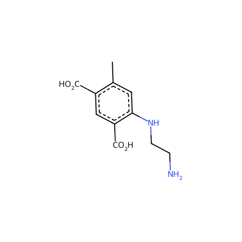 Cc1cc(NCCN)c(C(=O)O)cc1C(=O)O